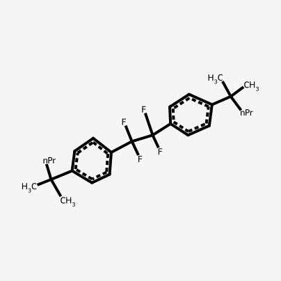 CCCC(C)(C)c1ccc(C(F)(F)C(F)(F)c2ccc(C(C)(C)CCC)cc2)cc1